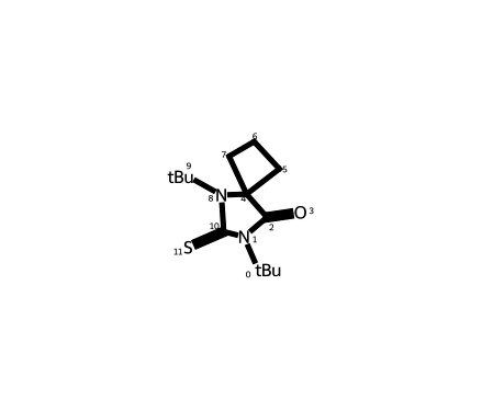 CC(C)(C)N1C(=O)C2(CCC2)N(C(C)(C)C)C1=S